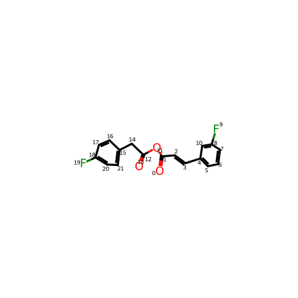 O=C(/C=C/c1cccc(F)c1)OC(=O)Cc1ccc(F)cc1